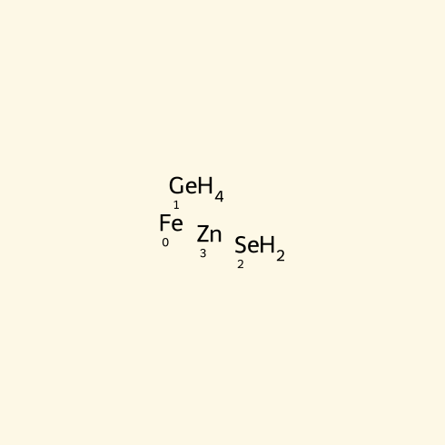 [Fe].[GeH4].[SeH2].[Zn]